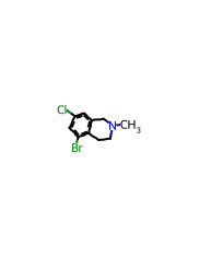 CN1CCc2c(Br)cc(Cl)cc2C1